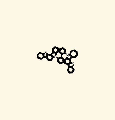 C1=CCc2c(c3c4sc5ccccc5c4ccc3n2-c2ccccc2-c2ccccc2-n2c3ccccc3c3c4sc5c(c4ccc32)C=CCC5)C=C1